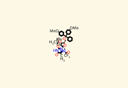 COc1ccc(C(OC[C@H]2O[C@@](CNC(=O)C(F)(F)F)(n3cc(C)c(=O)[nH]c3=O)CC2O[Si](C)(C)C(C)(C)C)(c2ccccc2)c2ccc(OC)cc2)cc1